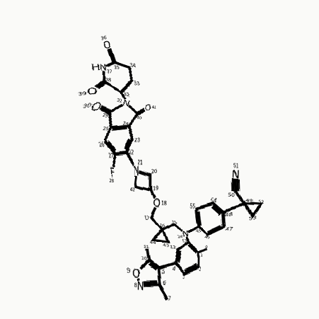 Cc1ccc(-c2c(C)noc2C)cc1N(CC1(COC2CN(c3cc4c(cc3F)C(=O)N(C3CCC(=O)NC3=O)C4=O)C2)CC1)c1ccc(C2(C#N)CC2)cc1